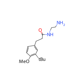 COc1ccc(CCC(=O)NCCN)cc1C(C)(C)C